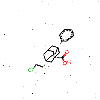 O=C(O)C12CC3C[C@](CCCl)(C1)C[C@@](c1ccccc1)(C3)C2